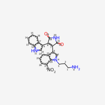 NCCCn1cc(C2=C(c3c[nH]c4ccccc34)C(=O)NC2=O)c2cccc([N+](=O)[O-])c21